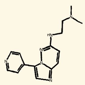 CN(C)CCNc1ccc2ncc(-c3ccncc3)n2n1